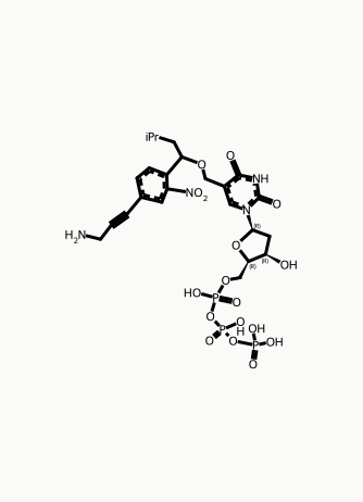 CC(C)CC(OCc1cn([C@H]2C[C@@H](O)[C@@H](COP(=O)(O)OP(=O)(O)OP(=O)(O)O)O2)c(=O)[nH]c1=O)c1ccc(C#CCN)cc1[N+](=O)[O-]